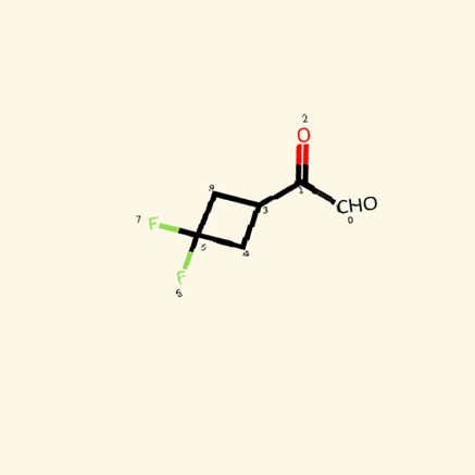 O=CC(=O)C1CC(F)(F)C1